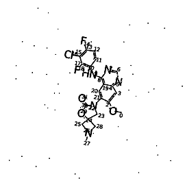 COc1cc2ncnc(Nc3ccc(F)c(Cl)c3F)c2cc1N1CC2(CN(C)C2)OC1=O